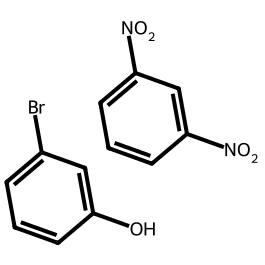 O=[N+]([O-])c1cccc([N+](=O)[O-])c1.Oc1cccc(Br)c1